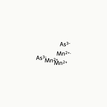 [As-3].[As-3].[Mn+2].[Mn+2].[Mn+2]